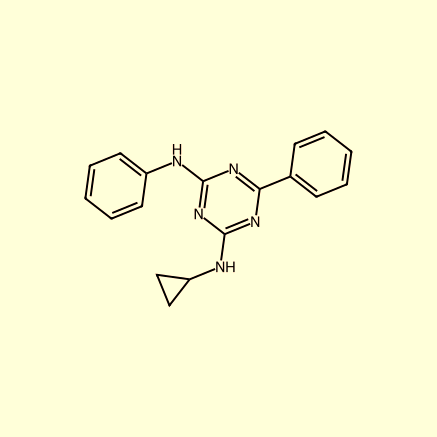 c1ccc(Nc2nc(NC3CC3)nc(-c3ccccc3)n2)cc1